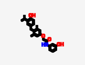 Cc1cc(OCC(=O)Nc2cccc(O)c2)cc(C)c1Cc1ccc(O)c(C(C)C)c1